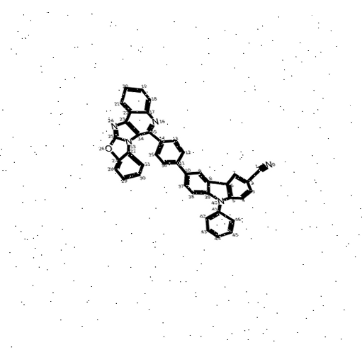 N#Cc1ccc2c(c1)c1cc(-c3ccc(-c4nc5ccccc5c5nc6oc7ccccc7n6c45)cc3)ccc1n2-c1ccccc1